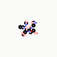 CN1CCOc2cc(N(C(=O)c3cc(-c4cc5c(cc4C(=O)N4Cc6ccccc6C[C@H]4CN4CCOCC4)OCCO5)n4c3CCCC4)c3ccc(O)cc3)ccc21